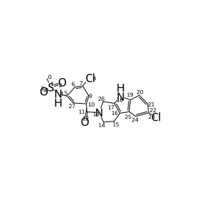 CS(=O)(=O)Nc1cc(Cl)cc(C(=O)N2CCc3c([nH]c4ccc(Cl)cc34)C2)c1